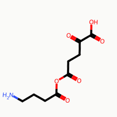 NCCCC(=O)OC(=O)CCC(=O)C(=O)O